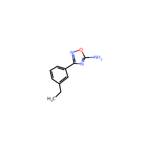 CCc1cccc(-c2noc(N)n2)c1